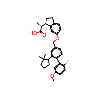 COc1ccc(F)c(-c2ccc(COc3ccc4c(c3)[C@@H]([C@H](C)C(=O)O)CC4)cc2C2CCCC2(C)C)c1